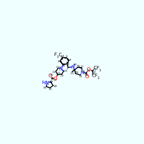 CN(Cc1ccc(C(F)(F)F)cc1N1CCC(OC(=O)[C@@H]2CCCN2)CC1)C1(C)CCN(C(=O)OC(C(F)(F)F)C(F)(F)F)CC1